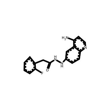 Nc1ccnc2ccc(NNC(=O)Cc3ccccc3F)cc12